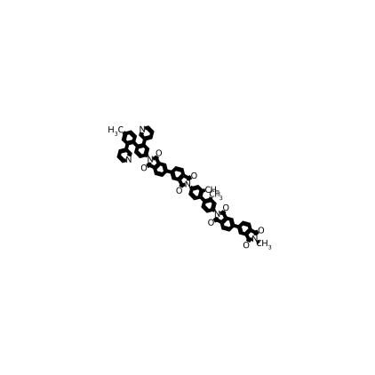 Cc1ccc(-c2ccc(N3C(=O)c4ccc(-c5ccc6c(c5)C(=O)N(c5ccc(-c7ccc(N8C(=O)c9ccc(-c%10ccc%11c(c%10)C(=O)N(C)C%11=O)cc9C8=O)cc7C(F)(F)F)c(C)c5)C6=O)cc4C3=O)cc2-c2cccnc2)c(-c2cccnc2)c1